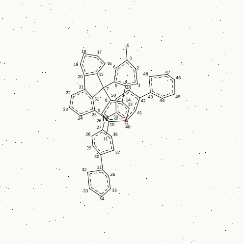 Cc1ccc2c(c1)C1(c3cc(C)ccc3-2)c2ccccc2-c2cccc(N(c3ccc(-c4ccccc4)cc3)c3ccc(-c4ccccc4)cc3)c21